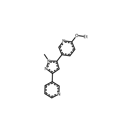 CCOc1ccc(-c2cc(-c3cccnc3)nn2C)cn1